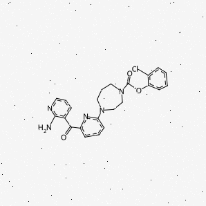 Nc1ncccc1C(=O)c1cccc(N2CCCN(C(=O)Oc3ccccc3Cl)CC2)n1